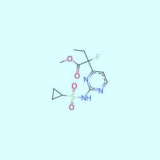 CCC(F)(C(=O)OC)c1ccnc(NS(=O)(=O)C2CC2)n1